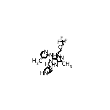 Cc1ccnc(Nc2nc(N3CC4C[C@H]3CN4)nc3c(C)nn(CCOCC(F)(F)F)c23)c1